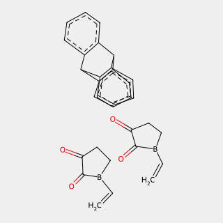 C=CB1CCC(=O)C1=O.C=CB1CCC(=O)C1=O.c1ccc2c(c1)C1c3ccccc3C2c2ccccc21